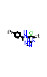 CCc1nc2ncnn2c(NC(C)c2ccc(C(C)C)cc2)c1Cl